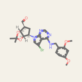 COc1ccc(CNc2ncnc3c2c(Br)cn3[C@@H]2C[C@H](C=O)[C@H]3OC(C)(C)O[C@H]32)c(OC)c1